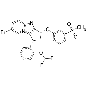 CS(=O)(=O)c1cccc(O[C@@H]2C[C@H](c3ccccc3OC(F)F)c3c2nc2ccc(Br)cn32)c1